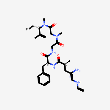 C=CN/C=C(\N)C[C@H](C)C(=O)N[C@@H](Cc1ccccc1)C(=O)NCC(=O)N(C)CC(=O)N(C)[C@@H](CC(C)C)C(=C)C